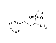 NC(CCc1ccccc1)S(N)(=O)=O